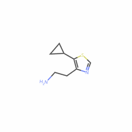 NCCc1ncsc1C1CC1